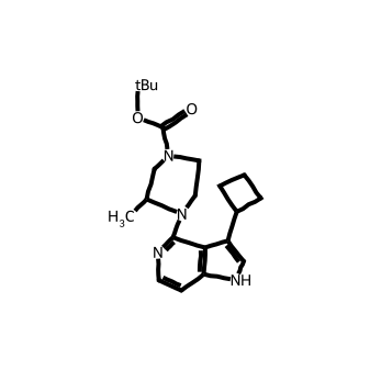 CC1CN(C(=O)OC(C)(C)C)CCN1c1nccc2[nH]cc(C3CCC3)c12